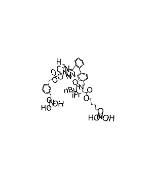 CCCCC(=O)N(Cc1ccc(-c2ccccc2-c2nnn(C(C)OC(=O)OCc3cccc(CON(O)O)c3)n2)cc1)[C@H](C(=O)OCCCCON(O)O)C(C)C